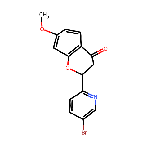 COc1ccc2c(c1)OC(c1ccc(Br)cn1)CC2=O